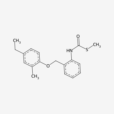 CCc1ccc(OCc2ccccc2NC(=O)SC)c(C)c1